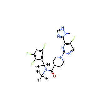 [2H]C([2H])([2H])N(C(=O)C1CCN(c2ncc(F)c(-c3ncnn3C)n2)CC1)C([2H])([2H])c1cc(F)cc(F)c1F